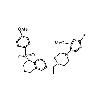 COc1ccc(S(=O)(=O)N2CCCc3cc(C(C)N4CCN(c5ccc(F)cc5OC)CC4)ccc32)cc1